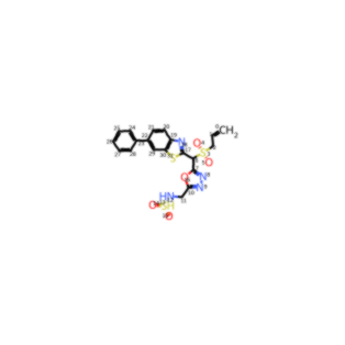 C=CCS(=O)(=O)C(c1nnc(CN[SH](=O)=O)o1)c1nc2ccc(-c3ccccc3)cc2s1